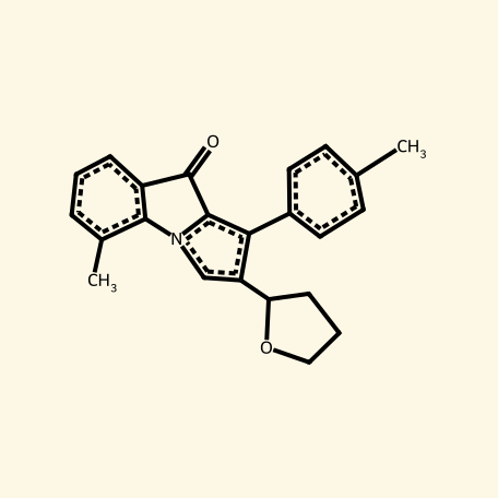 Cc1ccc(-c2c(C3CCCO3)cn3c2C(=O)c2cccc(C)c2-3)cc1